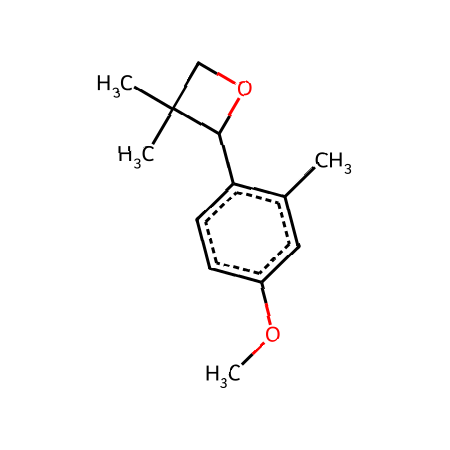 COc1ccc(C2OCC2(C)C)c(C)c1